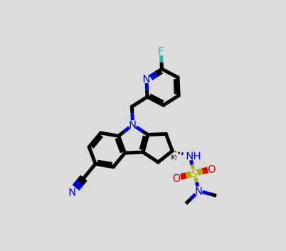 CN(C)S(=O)(=O)N[C@@H]1Cc2c(n(Cc3cccc(F)n3)c3ccc(C#N)cc23)C1